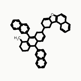 CC1CCCC2=C1C(c1ccc3ccccc3c1)=C1CC(C3CC=C4OC5=C(C4C3)C3C=CC=CC3C=C5)C=CC1C2c1ccc2ccccc2c1